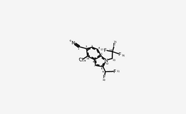 N#Cc1ccc2c(cc(C(F)F)n2CC(F)(F)F)c1Cl